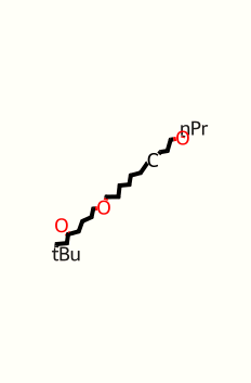 CCCOCCCCCCCCCCCOCCCCC(=O)CCC(C)(C)C